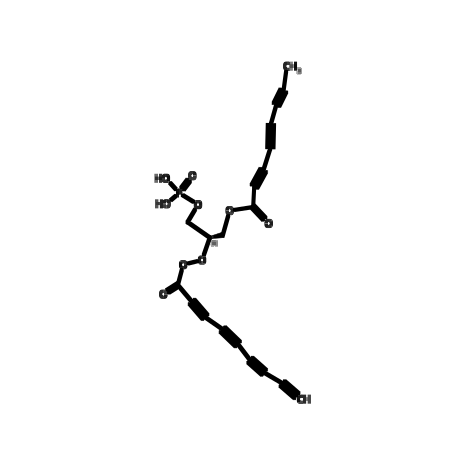 C#CC#CC#CC#CC(=O)OO[C@H](COC(=O)C#CC#CC#CC)COP(=O)(O)O